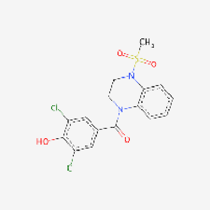 CS(=O)(=O)N1CCN(C(=O)c2cc(Cl)c(O)c(Cl)c2)c2ccccc21